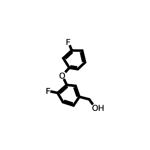 OCc1ccc(F)c(Oc2cccc(F)c2)c1